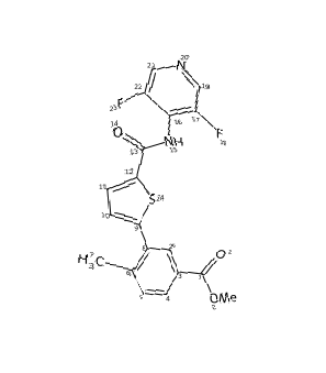 COC(=O)c1ccc(C)c(-c2ccc(C(=O)Nc3c(F)cncc3F)s2)c1